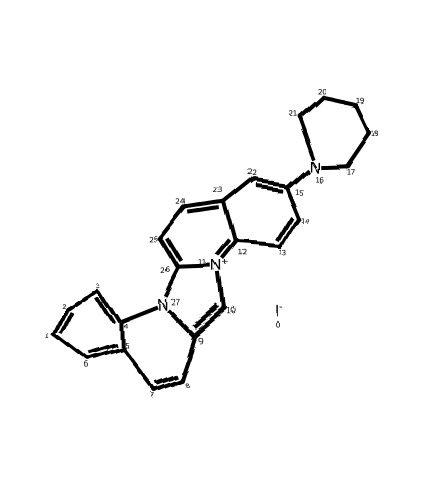 [I-].c1ccc2c(c1)ccc1c[n+]3c4ccc(N5CCCCC5)cc4ccc3n12